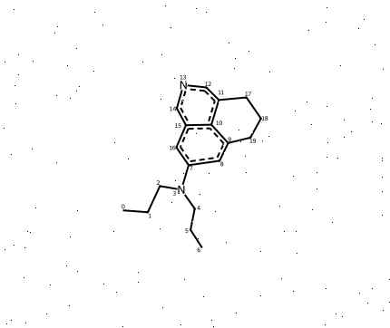 CCCN(CCC)c1cc2c3c(cncc3c1)CCC2